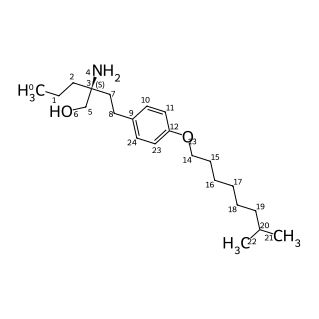 CCC[C@@](N)(CO)CCc1ccc(OCCCCCCC(C)C)cc1